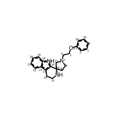 c1ccc(OCCN2CCC3(C2)NCCc2c3[nH]c3ccccc23)cc1